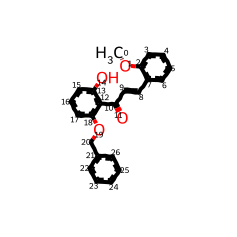 COc1ccccc1C=CC(=O)c1c(O)cccc1OCc1ccccc1